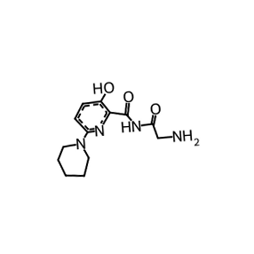 NCC(=O)NC(=O)c1nc(N2CCCCC2)ccc1O